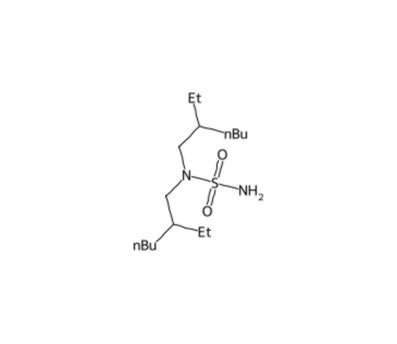 CCCCC(CC)CN(CC(CC)CCCC)S(N)(=O)=O